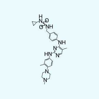 Cc1cc(Nc2ncc(C)c(Nc3ccc(CNS(=O)(=O)NC4CC4)cc3)n2)ccc1N1CCN(C)CC1